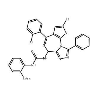 CCc1cc2c(s1)-n1c(-c3ccccc3)nnc1C(NC(=O)Nc1ccccc1OC)N=C2c1ccccc1Cl